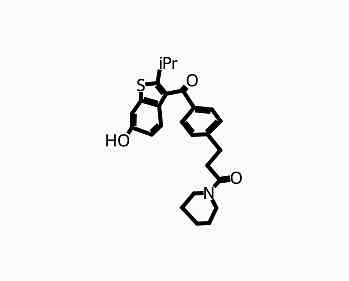 CC(C)c1sc2cc(O)ccc2c1C(=O)c1ccc(CCC(=O)N2CCCCC2)cc1